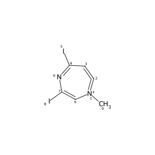 C[N+]1=C=CC(I)=NC(I)=C1